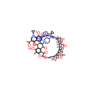 COc1c(N2CCC(C3(N(C)C4CCN(C5=C6NC(=O)/C(C)=C\C=C\[C@H](C)[C@H](O)[C@@H](C)[C@@H](O)[C@@H](C)[C@H](OC(C)=O)[C@H](C)[C@@H](OC)/C=C/O[C@@]7(C)Oc8c(C)c(O)c(c(c8C7=O)C5=O)C6=O)CC4)CC3)C2)c(F)cc2c(=O)c(C(C)=O)cn(C3CC3)c12